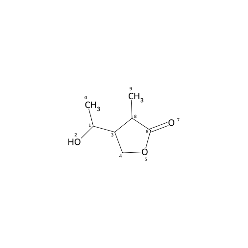 CC(O)C1COC(=O)C1C